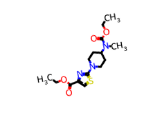 CCOC(=O)c1csc(N2CCC(N(C)C(=O)OCC)CC2)n1